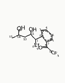 CCC(c1ccccc1C(=O)C(F)(F)F)C(O)CC(C)O